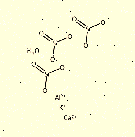 O.O=[Si]([O-])[O-].O=[Si]([O-])[O-].O=[Si]([O-])[O-].[Al+3].[Ca+2].[K+]